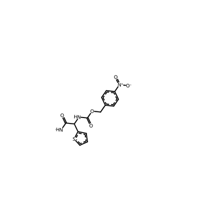 [NH]C(=O)C(NC(=O)OCc1ccc([N+](=O)[O-])cc1)c1cccs1